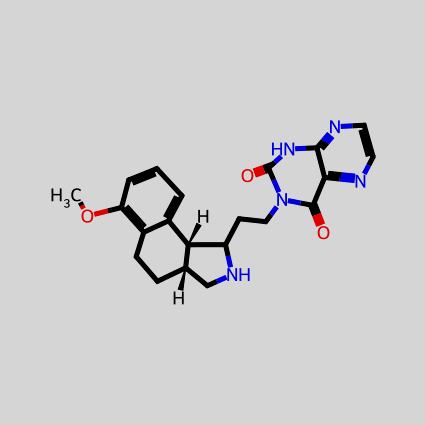 COc1cccc2c1CC[C@H]1CNC(CCn3c(=O)[nH]c4nccnc4c3=O)[C@@H]21